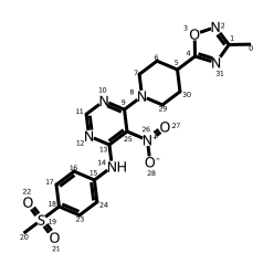 Cc1noc(C2CCN(c3ncnc(Nc4ccc(S(C)(=O)=O)cc4)c3[N+](=O)[O-])CC2)n1